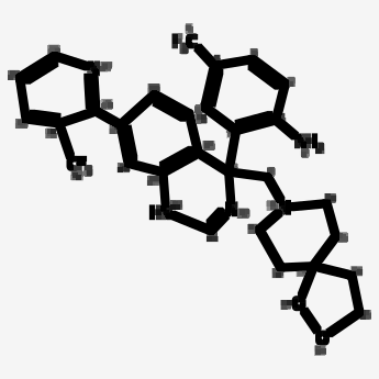 Nc1ccc(C(F)(F)F)cc1C1(CN2CCC3(CCOO3)CC2)N=CNc2cc(-c3ncccc3C(F)(F)F)ccc21